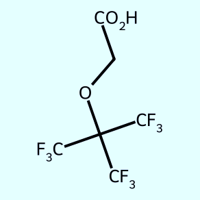 O=C(O)COC(C(F)(F)F)(C(F)(F)F)C(F)(F)F